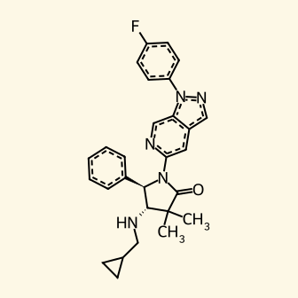 CC1(C)C(=O)N(c2cc3cnn(-c4ccc(F)cc4)c3cn2)[C@H](c2ccccc2)[C@H]1NCC1CC1